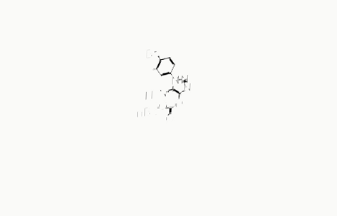 CCCCOC(=O)Oc1nnn(-c2ccc(Br)cc2)c1N